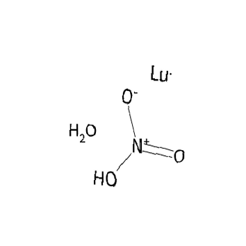 O.O=[N+]([O-])O.[Lu]